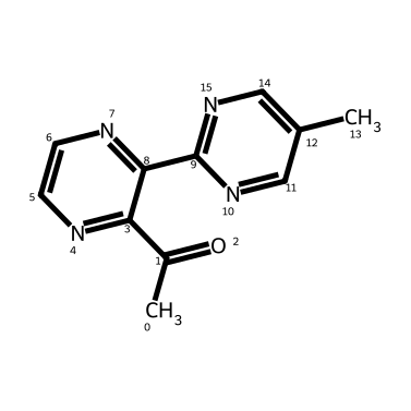 CC(=O)c1nccnc1-c1ncc(C)cn1